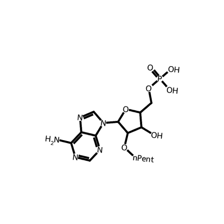 CCCCCOC1C(O)C(COP(=O)(O)O)OC1n1cnc2c(N)ncnc21